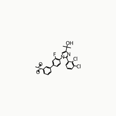 CC(C)(O)c1cn(-c2ccc(-c3cccc(S(C)(=O)=O)c3)cc2F)c(-c2cccc(Cl)c2Cl)n1